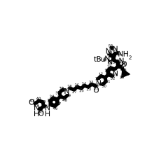 CC(C)(C)n1nc(-c2noc(C3CC3)c2-c2ccc(C3CCN(C(=O)CCCCCCCN4CCC(c5ccc(NC6CCC(=O)NC6=O)cc5)CC4)CC3)cn2)c2c(N)ncnc21